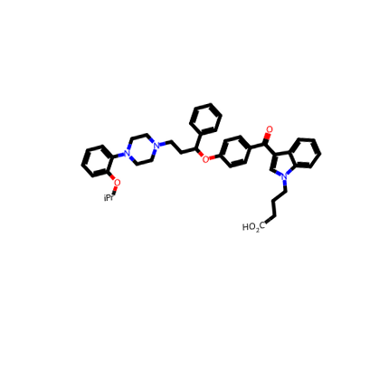 CC(C)Oc1ccccc1N1CCN(CCC(Oc2ccc(C(=O)c3cn(CCCC(=O)O)c4ccccc34)cc2)c2ccccc2)CC1